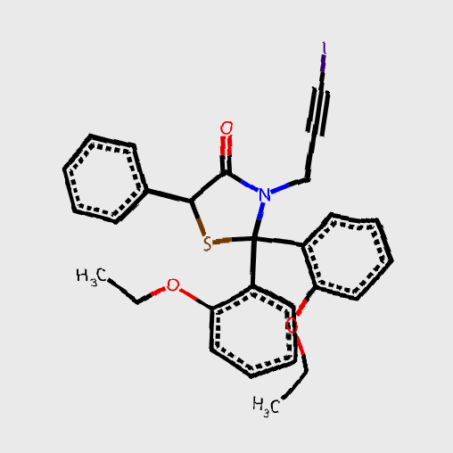 CCOc1ccccc1C1(c2ccccc2OCC)SC(c2ccccc2)C(=O)N1CC#CI